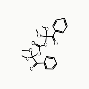 COC(OC)(OC(=O)OC(OC)(OC)C(=O)c1ccccc1)C(=O)c1ccccc1